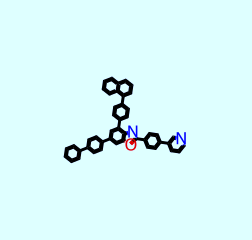 c1ccc(-c2ccc(-c3cc(-c4ccc(-c5cccc6ccccc56)cc4)c4nc(-c5ccc(-c6cccnc6)cc5)oc4c3)cc2)cc1